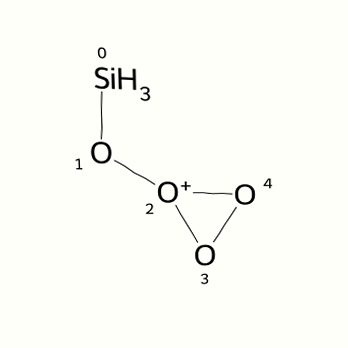 [SiH3]O[o+]1oo1